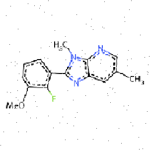 COc1cccc(-c2nc3cc(C)cnc3n2C)c1F